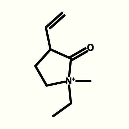 C=CC1CC[N+](C)(CC)C1=O